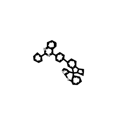 c1ccc2nc(-c3ccccc3)nc(-c3ccc(-c4ccc5c(c4)C4(c6ccccc6Sc6ccccc64)C4C=CC=CC54)cc3)c2c#1